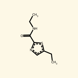 CCNC(=O)c1ncc(CC)s1